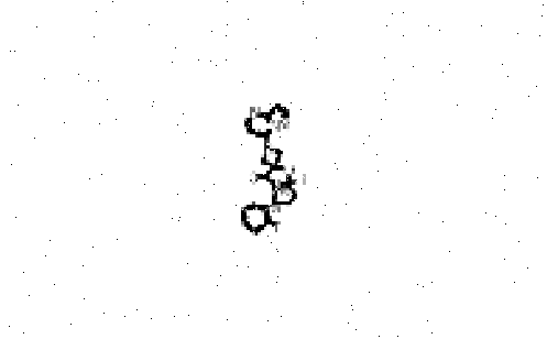 O=C1N2[C@@H](CC[C@H]2c2ccccc2F)OC12CN(c1ccnc3ccnn13)C2